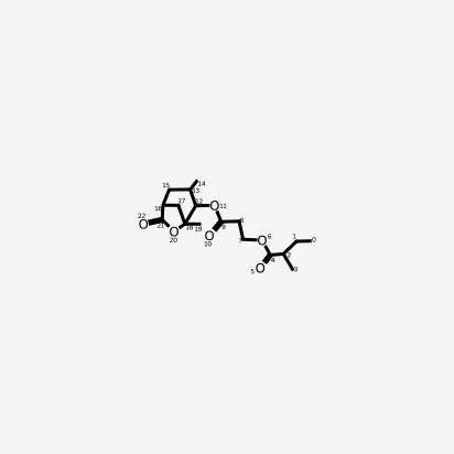 CCC(C)C(=O)OCCC(=O)OC1C(C)CC2CC1(C)OC2=O